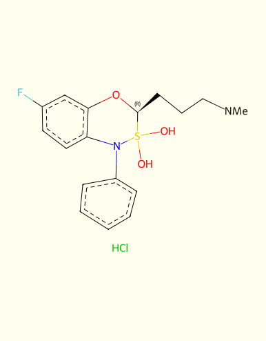 CNCCC[C@@H]1Oc2cc(F)ccc2N(c2ccccc2)S1(O)O.Cl